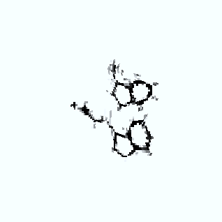 C#CCN[C@@H]1CCc2ccccc21.N[C@@H]1CCc2ccccc21